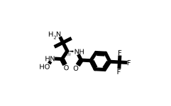 CC(C)(N)[C@H](NC(=O)c1ccc(C(F)(F)F)cc1)C(=O)NO